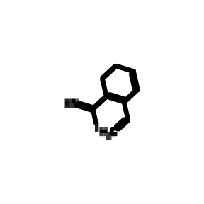 C=CC1=C(C(=N)I)CCC=C1